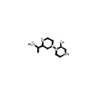 CCCC1CNCCN1N1CCOC(C(C)OC)C1